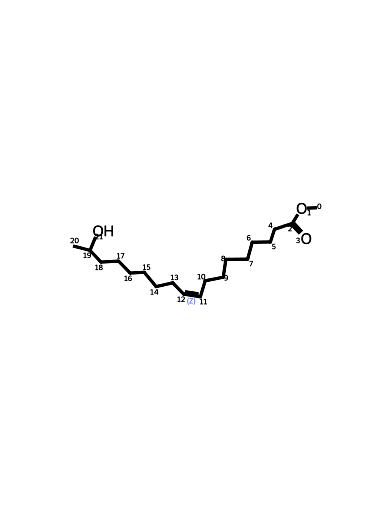 COC(=O)CCCCCCC/C=C\CCCCCCC(C)O